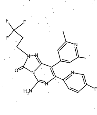 Cc1cc(-c2c(-c3ccc(F)cn3)nc(N)n3c(=O)n(CCC(F)(F)F)nc23)cc(C)n1